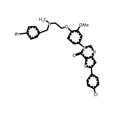 COc1cc(-n2cnc3cc(-c4ccc(Cl)cc4)sc3c2=O)ccc1OCCN(C)Cc1ccc(C(C)C)cc1